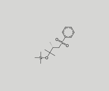 C[C@H](CS(=O)(=O)c1ccccc1)C(C)(C)O[Si](C)(C)C